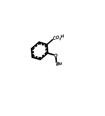 CCC(C)Oc1ccccc1C(=O)O